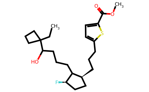 CCC1(C(O)CCCC2[C@@H](CCCc3ccc(C(=O)OC)s3)CC[C@H]2F)CCC1